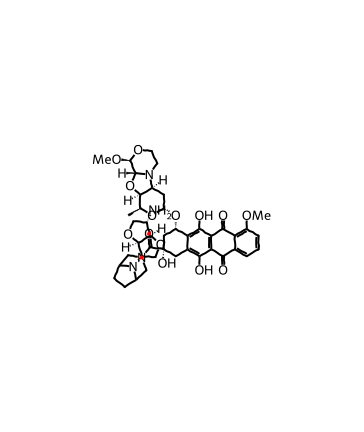 COc1cccc2c1C(=O)c1c(O)c3c(c(O)c1C2=O)C[C@@](O)(C(=O)N1CC2CCC(C1)N2[C@H]1CO[C@H]2[C@@H]1OC[C@@H]2N)C[C@@H]3O[C@H]1C[C@H]2[C@H](O[C@@H]3[C@@H](OC)OCCN32)[C@H](C)O1